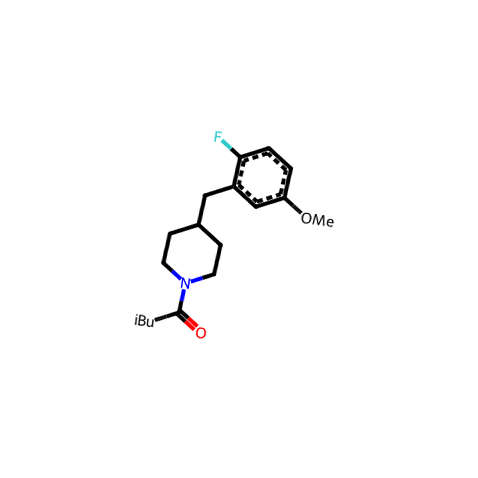 CCC(C)C(=O)N1CCC(Cc2cc(OC)ccc2F)CC1